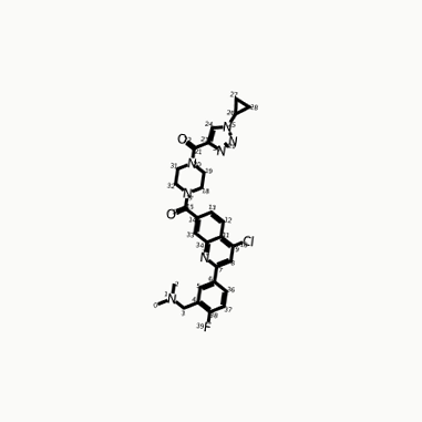 CN(C)Cc1cc(-c2cc(Cl)c3ccc(C(=O)N4CCN(C(=O)c5cn(C6CC6)nn5)CC4)cc3n2)ccc1F